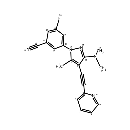 Cc1c(C#Cc2ccccn2)c(N(C)C)nn1-c1cc(F)cc(C#N)c1